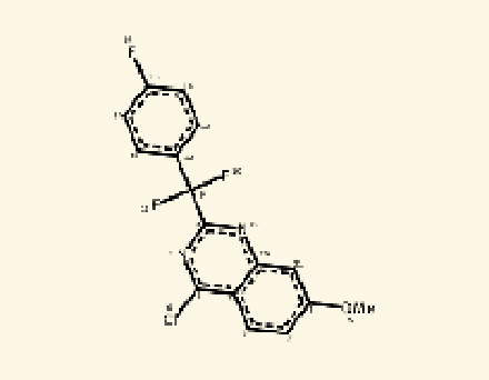 COc1ccc2c(Cl)nc(C(F)(F)c3ccc(F)cc3)nc2c1